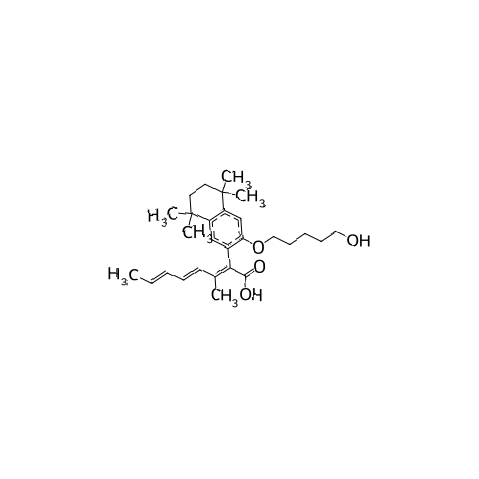 CC=CC=CC(C)=C(C(=O)O)c1cc2c(cc1OCCCCCO)C(C)(C)CCC2(C)C